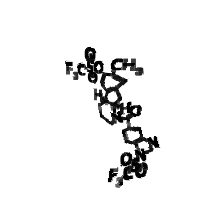 Cc1cc2c(cc1OS(=O)(=O)C(F)(F)F)[C@H]1CCCN(C(=O)c3ccc4c(c3)ncn4S(=O)(=O)C(F)(F)F)[C@H]1C2